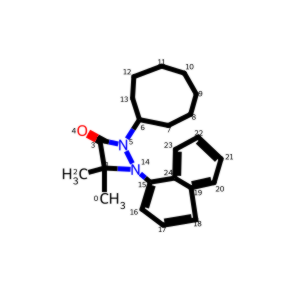 CC1(C)C(=O)N(C2CCCCCCC2)N1c1cccc2ccccc12